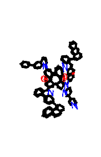 C1=CC2=Cc3c(-c4cccc5cc6ccccc6cc45)cccc3N(c3ccc4c5cc(N6C=CC=C7C=C(c8ccccc8)C=CC76)cc6oc7cc(-c8nc9cc(-c%10cccc%11ccc%12ccccc%12c%10%11)ccc9c9ccccc89)cc(c8ccc(N(c9ccccc9)c9ccc(-c%10ccncc%10)cn9)c9oc3c4c98)c7c65)C2C=C1